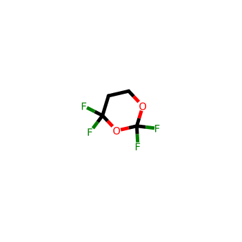 FC1(F)CCOC(F)(F)O1